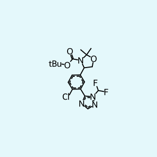 CC(C)(C)OC(=O)N1C(c2ccc(Cl)c(-c3ncnn3C(F)F)c2)COC1(C)C